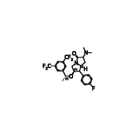 C[C@@H](O[C@H]1CN2C(=O)C(N(C)C)C[C@H]2C1c1ccc(F)cc1)c1cc(C(F)(F)F)cc(C(F)(F)F)c1